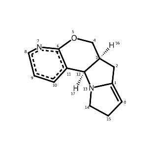 C1=C2C[C@@H]3COc4ncccc4[C@@H]3N2CC1